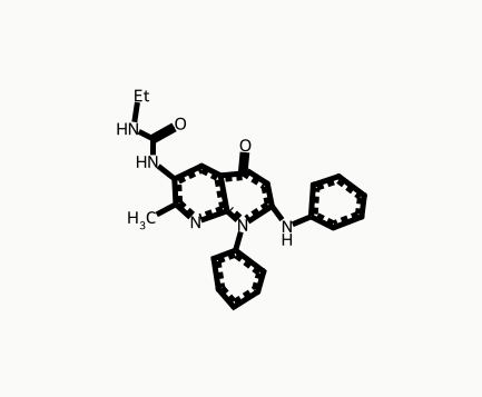 CCNC(=O)Nc1cc2c(=O)cc(Nc3ccccc3)n(-c3ccccc3)c2nc1C